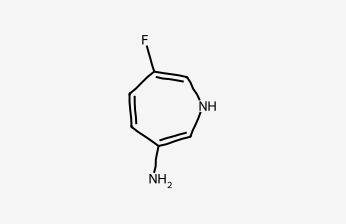 NC1=CNC=C(F)C=C1